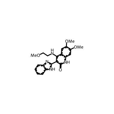 COCCNc1c(-c2nc3ccccc3[nH]2)c(=O)[nH]c2cc(OC)c(OC)cc12